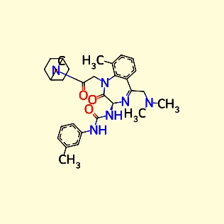 Cc1cccc(NC(=O)N[C@@H]2N=C(CN(C)C)c3cccc(C)c3N(CC(=O)N3CC4CCC(CC4)C3)C2=O)c1